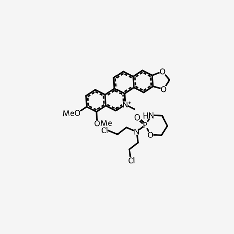 COc1ccc2c(c[n+](C)c3c4cc5c(cc4ccc23)OCO5)c1OC.O=P1(N(CCCl)CCCl)NCCCO1